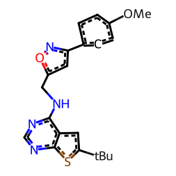 COc1ccc(-c2cc(CNc3ncnc4sc(C(C)(C)C)cc34)on2)cc1